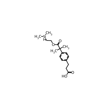 C[SiH](C)CCOC(=O)C(C)(C)c1ccc(CCC(=O)O)cc1